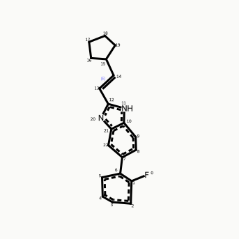 Fc1ccccc1-c1ccc2[nH]c(/C=C/C3CCCC3)nc2c1